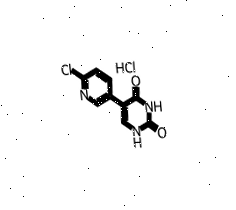 Cl.O=c1[nH]cc(-c2ccc(Cl)nc2)c(=O)[nH]1